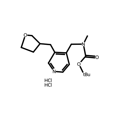 CN(Cc1ccncc1CC1CCOC1)C(=O)OC(C)(C)C.Cl.Cl